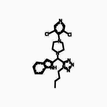 CCCCn1nnnc1C(c1cc2ccccc2[nH]1)N1CCN(c2c(Cl)cncc2Cl)CC1